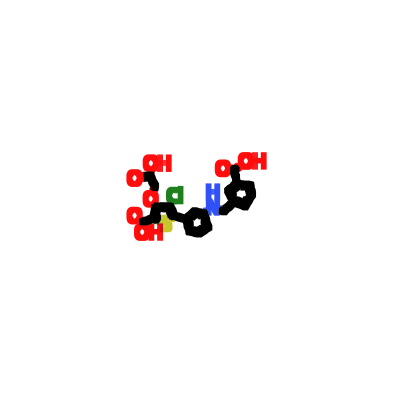 O=C(O)COc1c(C(=O)O)sc(-c2cccc(NCc3cccc(C(=O)O)c3)c2)c1Cl